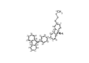 CCCCc1ccc2[nH]c3ccc(-c4ccc(-n5c6ccccc6c6ccccc65)cc4)cc3c2c1